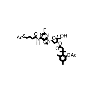 CC(=O)Oc1cc(C)cc(C)c1C(C)(C)CC(=O)O[C@H]1C[C@H](n2cnc3c(NC(=O)CCCSC(C)=O)nc(F)nc32)O[C@]1(C)CO